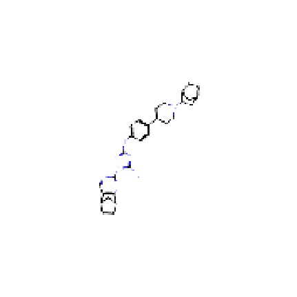 Nc1nc(Nc2ccc(C3CCN(C4CC5CCC4C5)CC3)cc2)nn1-c1ncc2c(n1)C1CCC2C1